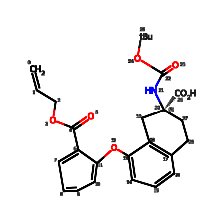 C=CCOC(=O)c1ccccc1Oc1cccc2c1C[C@](NC(=O)OC(C)(C)C)(C(=O)O)CC2